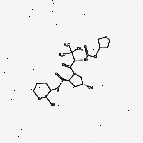 CC(C)(C)[C@H](NC(=O)OC1CCCC1)C(=O)N1C[C@H](O)C[C@H]1C(=O)NC1CCCOB1O